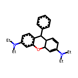 CCN(CC)C1=CC2Oc3cc(N(CC)CC)ccc3C(c3ccccc3)C2C=C1